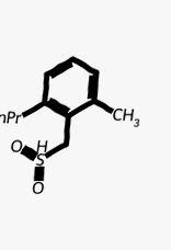 [CH2]CCc1cccc(C)c1C[SH](=O)=O